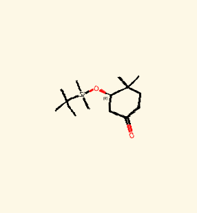 CC1(C)CCC(=O)C[C@H]1O[Si](C)(C)C(C)(C)C